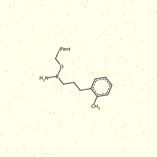 CCCC(C)COB(N)CCCc1ccccc1C